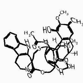 COc1c(C)cc2c(c1O)[C@@H]1C3[C@@H]4SC[C@]5(NCCc6c5[nH]c5ccccc65)C(=O)OC[C@@H](c5c6c(c(C)c(OC(C)=O)c54)OCO6)N3[C@@H](O)[C@H](C2)N1C